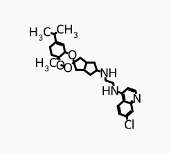 CC(C)C1=CC2OC3(CC4CC(NCCNc5ccnc6cc(Cl)ccc56)CC4C3)OOC2(C)CC1